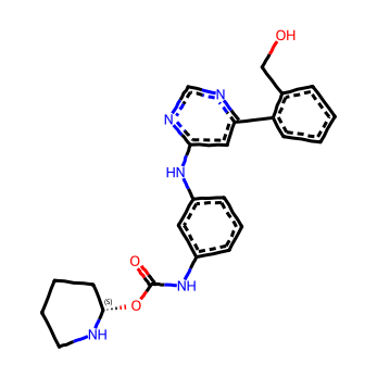 O=C(Nc1cccc(Nc2cc(-c3ccccc3CO)ncn2)c1)O[C@H]1CCCCN1